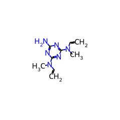 C=CN(C)c1nc(N)nc(N(C)C=C)n1